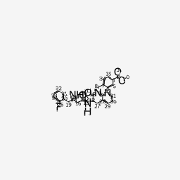 COC(=O)c1ccc(CN2C(=O)C(NC(=O)C[C@H](N)Cc3ccccc3F)Cc3cccnc32)cc1